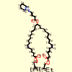 CCC(CC)COC(=O)CCCC/C=C\CCCCCCCCC(CCCCCCCC/C=C\CCCCC(=O)OCC(CC)CC)OC(=O)CCCN1CCCCC1